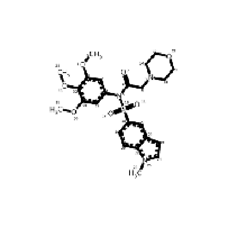 COc1cc(N(C(=O)CN2CCOCC2)S(=O)(=O)c2ccc3c(ccn3C)c2)cc(OC)c1OC